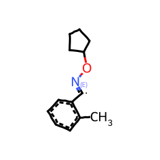 Cc1ccccc1/[C]=N/OC1CCCC1